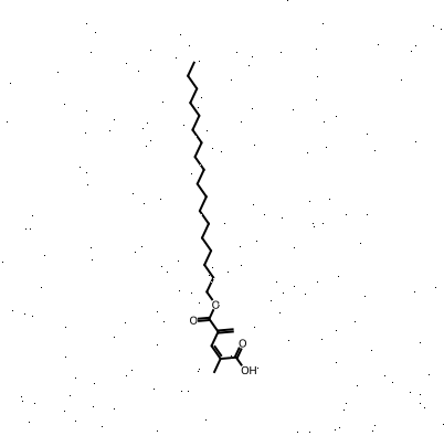 C=C(C=C(C)C(=O)O)C(=O)OCCCCCCCCCCCCCCCCCC